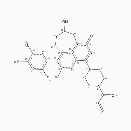 C=CC(=O)N1CCN(c2nc(=O)n3c4c(c(-c5cc(Cl)c(F)cc5F)c(C)cc24)SCC(O)C3)CC1